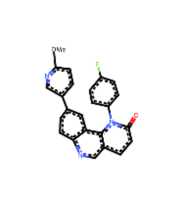 COc1ccc(-c2ccc3ncc4ccc(=O)n(-c5ccc(F)cc5)c4c3c2)cn1